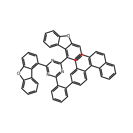 c1ccc(-c2nc(-c3cccc4oc5ccccc5c34)nc(-c3cccc4oc5ccccc5c34)n2)c(-c2ccc3c(ccc4ccc5ccccc5c43)c2)c1